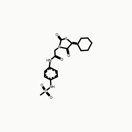 CS(=O)(=O)Nc1ccc(NC(=O)CN2C(=O)SC(=C3CCCCC3)C2=O)cc1